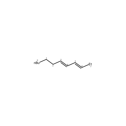 [CH2]CCCCC/C=C/C=C/CC